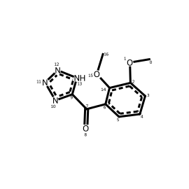 COc1cccc(C(=O)c2nnn[nH]2)c1OC